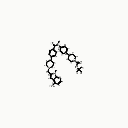 CN(C(=O)c1ccc(C2CCN(Cc3cc4c(Br)ccnc4n3C)CC2)cc1)c1ccc(C2CCN(C(=O)OC(C)(C)C)CC2)cc1